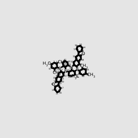 Cc1cc(C)c(B2c3cc4cc5oc6ccccc6c5cc4cc3N3c4cccc5c4N(c4cc6cc7c(cc6cc4B5c4c(C)cc(C)cc4C)oc4ccccc47)c4cccc2c43)c(C)c1